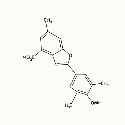 COc1c(C)cc(-c2cc3c(C(=O)O)cc(C)cc3o2)cc1C